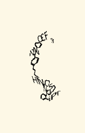 CC(C)c1ccccc1N1CCCS/C1=N\C(=O)NCCCCc1ccc(-c2ncn(-c3ccc(OC(F)(F)F)cc3)n2)cc1